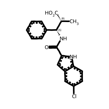 C[C@@H](C(=O)O)[C@H](NC(=O)c1cc2cc(Cl)ccc2[nH]1)c1ccccc1